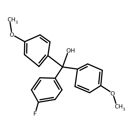 COc1ccc(C(O)(c2ccc(F)cc2)c2ccc(OC)cc2)cc1